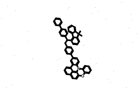 CC1(C)c2ccccc2-c2c(C(Cc3ccc(-c4ccc5c(c4)c4cccc6ccc7oc8ccccc8n5-c7c64)cc3)c3ccc(-c4ccccc4)cc3)cccc21